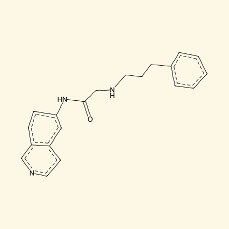 O=C(CNCCCc1ccccc1)Nc1ccc2cnccc2c1